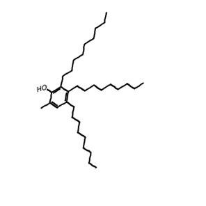 CCCCCCCCCc1cc(C)c(O)c(CCCCCCCCC)c1CCCCCCCCC